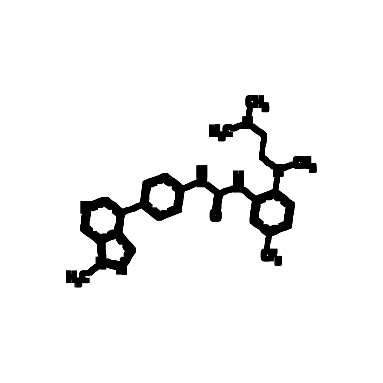 CN(C)CCN(C)c1ccc(C(F)(F)F)cc1NC(=O)Nc1ccc(-c2cncc3c2cnn3C)cc1